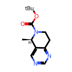 C[C@@H]1c2cncnc2CCN1C(=O)OC(C)(C)C